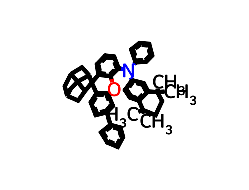 CC1(C)CCC(C)(C)c2cc(N(c3ccccc3)c3cccc4c3Oc3cc(-c5ccccc5)ccc3C43C4CC5CC6CC3C64C5)ccc21